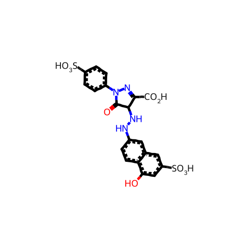 O=C(O)C1=NN(c2ccc(S(=O)(=O)O)cc2)C(=O)C1NNc1ccc2c(O)cc(S(=O)(=O)O)cc2c1